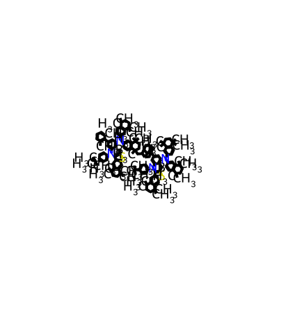 Cc1cccc(C)c1-c1cc2c3c(c1)N(c1ccc([Si](C)(C)C)cc1)c1c(sc4cc5c(cc14)C(C)(C)CCC5(C)C)B3c1cc3c(cc1N2c1ccc2c(c1)C(C)(C)CCC2(C)C)C(C)(C)CCC3(C)CC1C2CC3CC1CC(c1cc4c5c(c1)N(c1ccc(C(C)(C)C)cc1)c1c(sc6cc7c(cc16)C(C)(C)CCC7(C)C)B5c1cc5c(cc1N4c1ccc4c(c1)C(C)(C)CCC4(C)C)C(C)(C)CCC5(C)C)(C3)C2